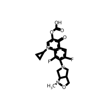 CN1OCC2CN(c3c(F)cc4c(=O)c(OC(=O)O)cn(C5CC5)c4c3F)CC21